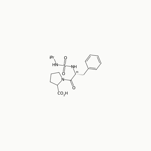 CC(C)NS(=O)(=O)N[C@H](Cc1ccccc1)C(=O)N1CCCC1C(=O)O